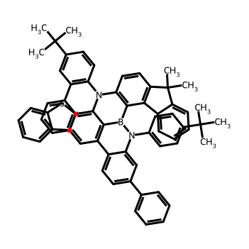 CC(C)(C)c1ccc(N2B3c4c(ccc5c4-c4ccccc4C5(C)C)N(c4ccc(C(C)(C)C)cc4-c4ccccc4)c4c3c(cc3c4sc4ccccc43)-c3ccc(-c4ccccc4)cc32)cc1